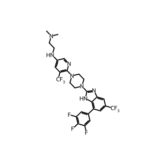 CN(C)CCNc1cnc(N2CCN(c3nc4cc(C(F)(F)F)cc(-c5cc(F)c(F)c(F)c5)c4[nH]3)CC2)c(C(F)(F)F)c1